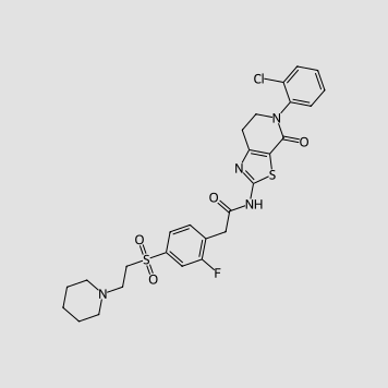 O=C(Cc1ccc(S(=O)(=O)CCN2CCCCC2)cc1F)Nc1nc2c(s1)C(=O)N(c1ccccc1Cl)CC2